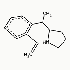 C=Cc1ccccc1C(C)C1CCCN1